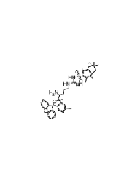 Cc1ccc(C(OC(=O)[C@@H](N)CCCNC(=N)NS(=O)(=O)c2c(C)c(C)c3c(c2C)OC(C)(C)C3)(c2ccccc2)c2ccccc2Cl)cc1